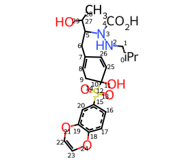 CC(C)CNN(C(=O)O)C(CC1=CCC(O)(S(=O)(=O)c2ccc3c(c2)OC=CO3)C=C1)C(C)O